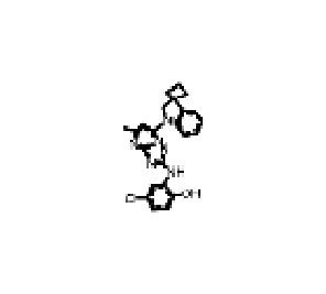 Cc1cc(NCC2(c3ccccc3)CCC2)n2nc(Nc3cc(Cl)ccc3O)nc2n1